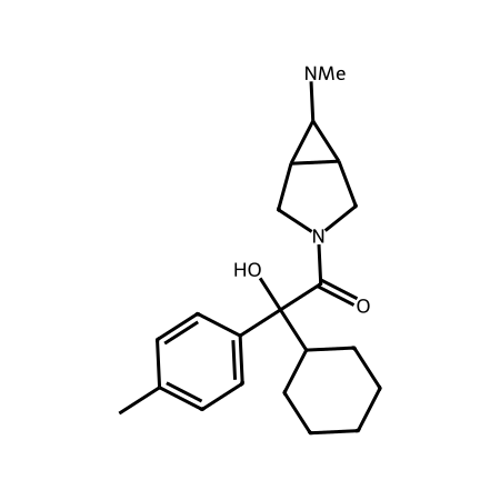 CNC1C2CN(C(=O)C(O)(c3ccc(C)cc3)C3CCCCC3)CC21